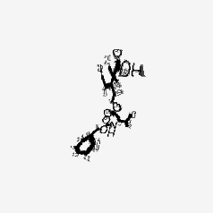 CC(C)[C@H](NC(=O)OCc1ccccc1)C(=O)OCCC(CI)C(C)(C)C(=O)O